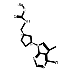 Cc1cn([C@H]2CC[C@@H](CNC(=O)OC(C)(C)C)C2)c2ncnc(Cl)c12